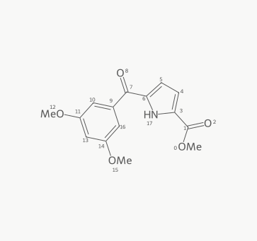 COC(=O)c1ccc(C(=O)c2cc(OC)cc(OC)c2)[nH]1